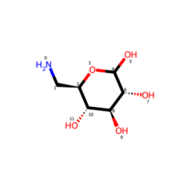 NC[C@H]1OC(O)[C@H](O)[C@@H](O)[C@@H]1O